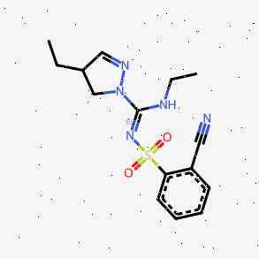 CCN/C(=N\S(=O)(=O)c1ccccc1C#N)N1CC(CC)C=N1